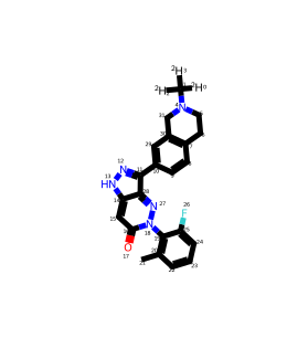 [2H]C([2H])([2H])N1CCc2ccc(-c3n[nH]c4cc(=O)n(-c5c(C)cccc5F)nc34)cc2C1